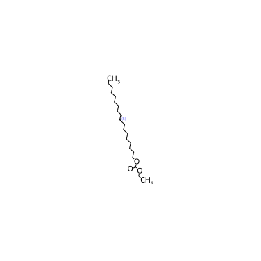 CCCCCCCC/C=C/CCCCCCCCOC(=O)OCC